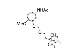 COc1ccc(NC(C)=O)cc1OCOCC[Si](C)(C)C